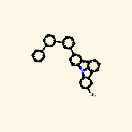 Cc1ccc2c(c1)c1cccc3c4cc(-c5cccc(-c6cccc(-c7ccccc7)c6)c5)ccc4n2c13